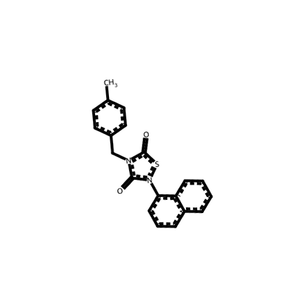 Cc1ccc(Cn2c(=O)sn(-c3cccc4ccccc34)c2=O)cc1